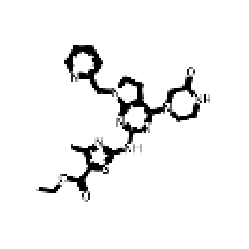 CCOC(=O)c1sc(Nc2nc(N3CCNC(=O)C3)c3c(n2)N(Cc2ccccn2)CC3)nc1C